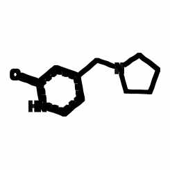 O=c1cc(CN2CCCC2)cc[nH]1